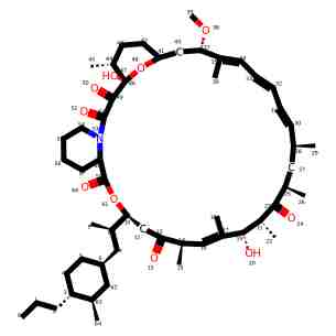 CCC[C@@H]1CC[C@@H](C[C@@H](C)[C@@H]2CC(=O)[C@H](C)/C=C(\C)[C@@H](O)[C@@H](C)C(=O)[C@H](C)C[C@H](C)/C=C/C=C/C=C(\C)[C@@H](OC)CC3CC[C@@H](C)[C@@](O)(O3)C(=O)C(=O)N3CCCCC3C(=O)O2)C[C@H]1C